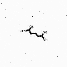 CCCC(O)CCCC(O)CCC